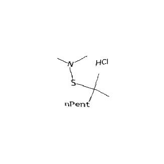 CCCCCC(C)(C)SN(C)C.Cl